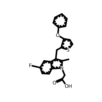 Cc1c(Cc2sccc2Oc2ccccc2)c2cc(F)ccc2n1CC(=O)O